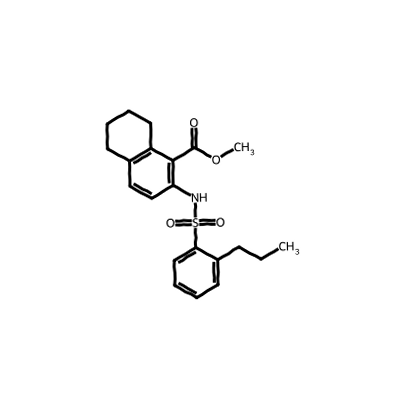 CCCc1ccccc1S(=O)(=O)Nc1ccc2c(c1C(=O)OC)CCCC2